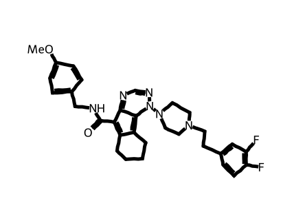 COc1ccc(CNC(=O)c2c3ncnn(N4CCN(CCc5ccc(F)c(F)c5)CC4)c-3c3c2CCCC3)cc1